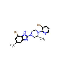 C[C@@H]1CN(c2nc3cc(C(F)(F)F)cc(Br)c3[nH]2)CCN1c1ncccc1Br